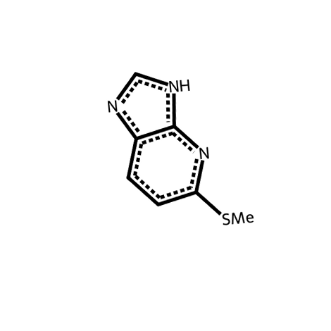 CSc1ccc2nc[nH]c2n1